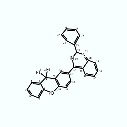 CCC1(CC)c2ccccc2Oc2ccc(C3=c4ccccc4=NC(c4ccccc4)N3)cc21